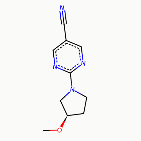 CO[C@@H]1CCN(c2ncc(C#N)cn2)C1